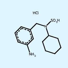 Cl.Nc1cccc(CN(C2CCCCC2)S(=O)(=O)O)c1